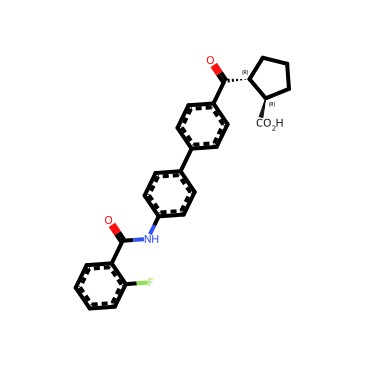 O=C(Nc1ccc(-c2ccc(C(=O)[C@@H]3CCC[C@H]3C(=O)O)cc2)cc1)c1ccccc1F